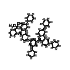 CC1(C)c2ccccc2-n2c3ccc(-c4nc(-c5ccccc5)nc(-n5c6ccc(-c7ccccc7)cc6c6cc(-c7ccccc7)ccc65)n4)cc3c3cc(-c4ccccc4)cc1c32